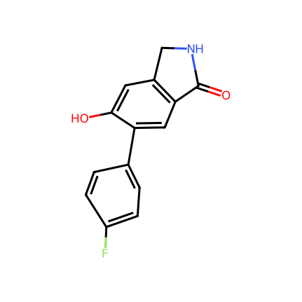 O=C1NCc2cc(O)c(-c3ccc(F)cc3)cc21